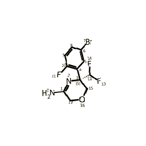 NC1=N[C@](c2cc(Br)ccc2F)(C(F)F)COC1